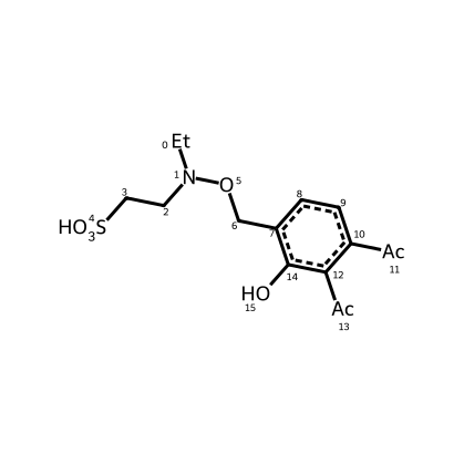 CCN(CCS(=O)(=O)O)OCc1ccc(C(C)=O)c(C(C)=O)c1O